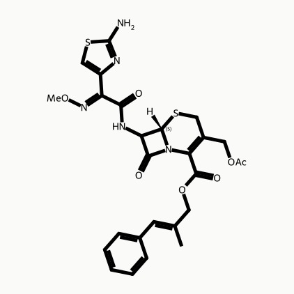 CON=C(C(=O)NC1C(=O)N2C(C(=O)OCC(C)=Cc3ccccc3)=C(COC(C)=O)CS[C@@H]12)c1csc(N)n1